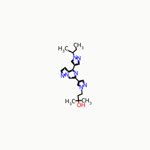 CCC(CC)n1cc(-c2nc(-c3cnn(CCC(C)(C)O)c3)cn3nccc23)cn1